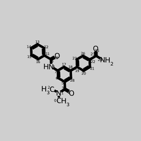 CN(C)C(=O)c1cc(NC(=O)c2ccccc2)cc(-c2ccc(C(N)=O)cc2)c1